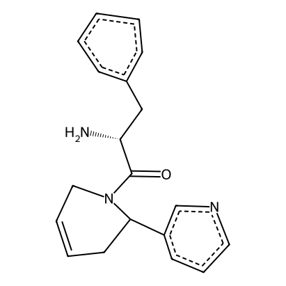 N[C@H](Cc1ccccc1)C(=O)N1CC=CCC1c1cccnc1